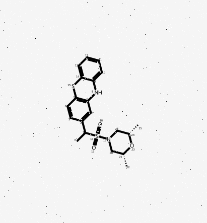 CC(c1ccc2c(c1)Nc1ccccc1S2)S(=O)(=O)N1C[C@@H](C)O[C@@H](C)C1